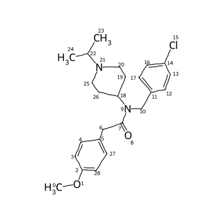 COc1ccc(CC(=O)N(Cc2ccc(Cl)cc2)C2CCN(C(C)C)CC2)cc1